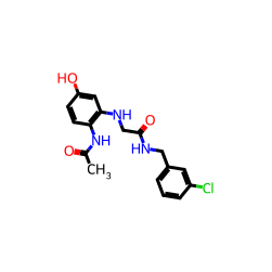 CC(=O)Nc1ccc(O)cc1NCC(=O)NCc1cccc(Cl)c1